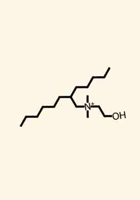 CCCCCCC(CCCCC)C[N+](C)(C)CCO